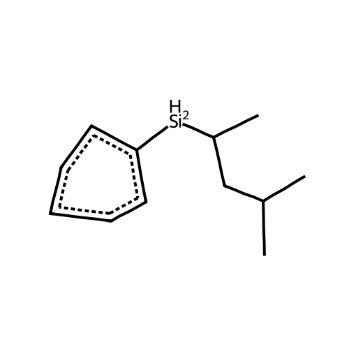 CC(C)CC(C)[SiH2]c1ccccc1